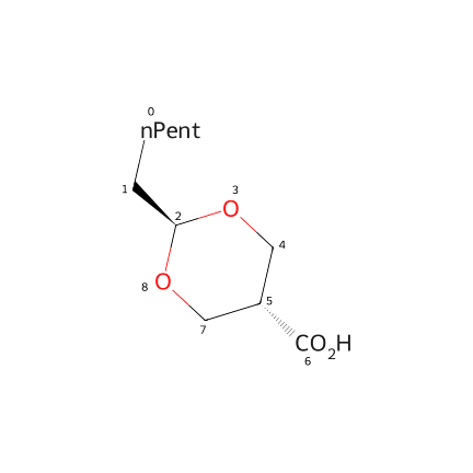 CCCCCC[C@H]1OC[C@H](C(=O)O)CO1